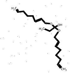 C=CCCCC=CCOC(O)(CC)OCC=CCCCC=C